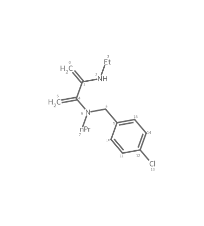 C=C(NCC)C(=C)N(CCC)Cc1ccc(Cl)cc1